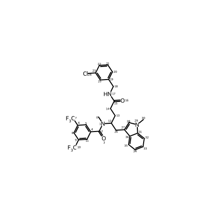 CN(C(=O)c1cc(C(F)(F)F)cc(C(F)(F)F)c1)C(CCC(=O)NCc1cccc(Cl)c1)Cc1cn(C)c2ccccc12